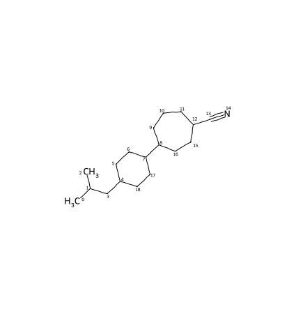 CC(C)CC1CCC(C2CCCC(C#N)CC2)CC1